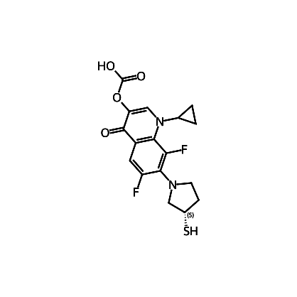 O=C(O)Oc1cn(C2CC2)c2c(F)c(N3CC[C@H](S)C3)c(F)cc2c1=O